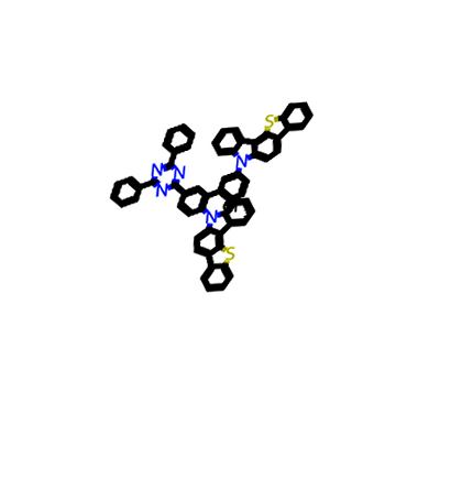 FC(F)(F)c1ccc(-n2c3ccccc3c3c4sc5ccccc5c4ccc32)cc1-c1cc(-c2nc(-c3ccccc3)nc(-c3ccccc3)n2)ccc1-n1c2ccccc2c2c3sc4ccccc4c3ccc21